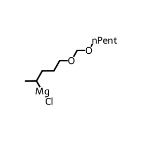 CCCCCOCOCCC[CH](C)[Mg][Cl]